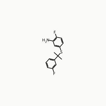 CC(C)(Sc1ccc(F)c(N)c1)c1cccc(F)c1